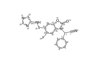 N#CC(c1ccccc1)n1c(=O)oc2cc(SNc3ncns3)c(F)cc21